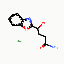 Cl.NC(=O)CCC(O)c1nc2ccccc2o1